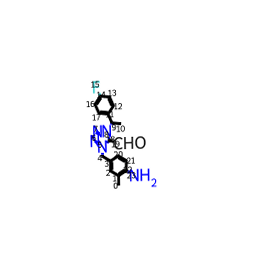 Cc1cc(CN2N=NN(C(C)c3ccc(F)cc3)C2C=O)ccc1N